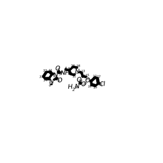 Cn1c(=O)n(C(=O)NCC2CCN(CC(COc3ccc(Cl)cc3)OC(N)=O)CC2)c2ccccc21